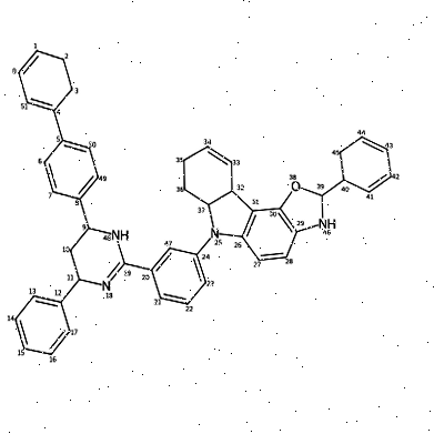 C1=CCCC(c2ccc(C3CC(c4ccccc4)N=C(c4cccc(N5c6ccc7c(c6C6C=CCCC65)OC(C5C=CC=CC5)N7)c4)N3)cc2)=C1